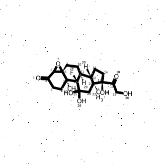 C[C@]12CCC(=O)C3O[C@@]31CC[C@H]1[C@@H]3CC[C@](O)(C(=O)CO)[C@@]3(C)CC(O)(O)[C@@]12F